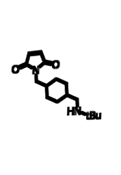 CC(C)(C)NCC1CCC(CN2C(=O)C=CC2=O)CC1